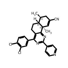 C[C@H]1CC(C#N)=C[C@@]2(C)c3nc(-c4ccncc4)nc(-c4ccc(Cl)c(Cl)c4)c3CC[C@H]12